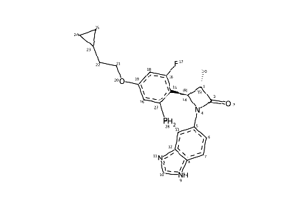 C[C@@H]1C(=O)N(c2ccc3[nH]cnc3c2)[C@H]1c1c(F)cc(OCCC2CC2)cc1P